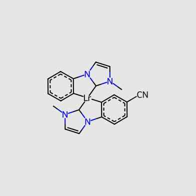 CN1C=CN2c3cccc[c]3[Lr]3([c]4cc(C#N)ccc4N4C=CN(C)[CH]43)[CH]12